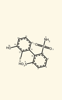 NS(=O)(=O)c1cccc(S(=O)(=O)O)c1-c1cccc(O)c1F